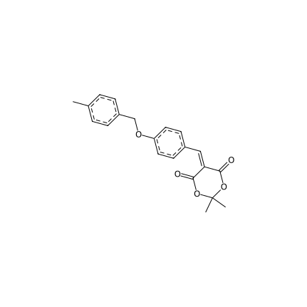 Cc1ccc(COc2ccc(C=C3C(=O)OC(C)(C)OC3=O)cc2)cc1